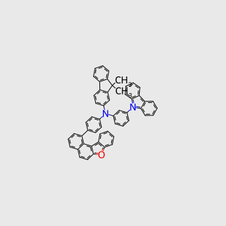 CC1(C)c2ccccc2-c2ccc(N(c3ccc(-c4cccc5ccc6oc7ccccc7c6c45)cc3)c3cccc(-n4c5ccccc5c5ccccc54)c3)cc21